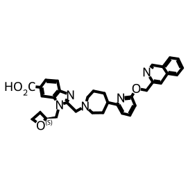 O=C(O)c1ccc2nc(CN3CCCC(c4cccc(OCc5cc6ccccc6cn5)n4)CC3)n(C[C@@H]3CCO3)c2c1